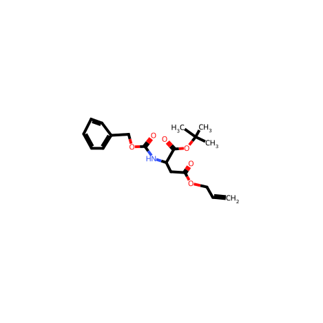 C=CCOC(=O)CC(NC(=O)OCc1ccccc1)C(=O)OC(C)(C)C